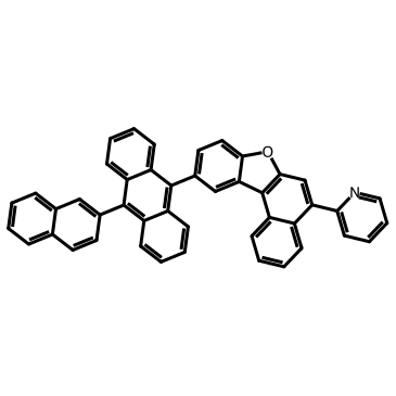 c1ccc(-c2cc3oc4ccc(-c5c6ccccc6c(-c6ccc7ccccc7c6)c6ccccc56)cc4c3c3ccccc23)nc1